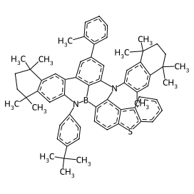 Cc1ccccc1-c1cc2c3c(c1)N(c1cc4c(cc1C)C(C)(C)CCC4(C)C)c1c(ccc4sc5ccccc5c14)B3N(c1ccc(C(C)(C)C)cc1)c1cc3c(cc1-2)C(C)(C)CCC3(C)C